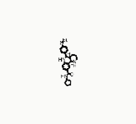 CCOc1ccc(C2Nc3ccc(C(=O)NC4CCCC4)cc3[C@H]3NCCC[C@@H]23)cc1